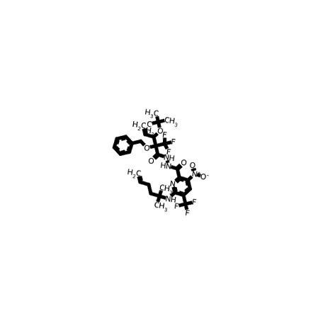 C=CCCC(C)(C)Nc1nc(C(=O)NNC(=O)C(OCc2ccccc2)(C(C=C)OC(C)(C)C)C(F)(F)F)c([N+](=O)[O-])cc1C(F)(F)F